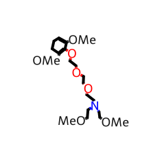 COCCN(CCOC)CCOCCOCCOC1=C(OC)CCC=C1OC